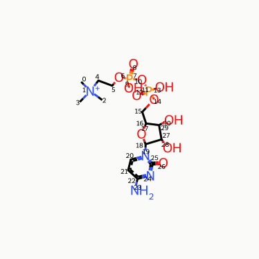 C[N+](C)(C)CCOP(=O)(O)OP(=O)(O)OCC1OC(n2ccc(N)nc2=O)C(O)C1O